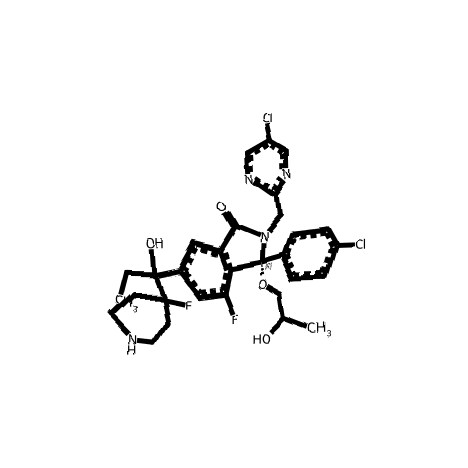 CCC(O)(c1cc(F)c2c(c1)C(=O)N(Cc1ncc(Cl)cn1)[C@@]2(OCC(C)O)c1ccc(Cl)cc1)C1(F)CCNCC1